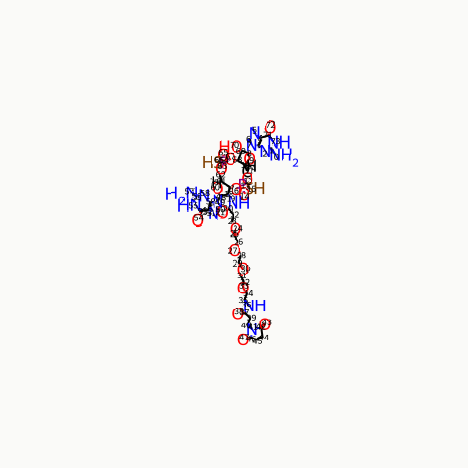 Nc1nc2c(ncn2[C@@H]2O[C@@H]3COP(=O)(S)OC4C(NC(=O)CCOCCOCCOCCOCCNC(=O)CCN5C(=O)C=CC5=O)[C@H](n5cnc6c(=O)[nH]c(N)nc65)O[C@@H]4COP(=O)(S)OC3C2O)c(=O)[nH]1